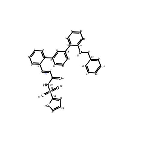 O=C(/C=C/c1ccccc1-c1cccc(-c2ccccc2OCc2ccccc2)c1)NS(=O)(=O)c1cccs1